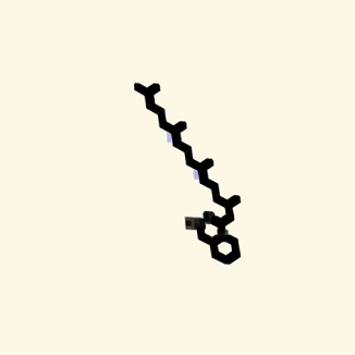 CC(C)=CCC/C(C)=C/CC/C(C)=C/CCC(C)CC(=O)N1CCCCC1CO